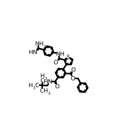 CC(C)(C)CNC(=O)c1ccc(-c2ccsc2C(=O)Nc2ccc(C(=N)N)cc2)c(C(=O)OCc2ccccc2)c1